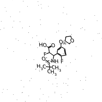 CC(C)(C)[S@@+]([O-])NC(c1cc(O[C@@H]2CCOC2)ccc1F)C(F)C(=O)O